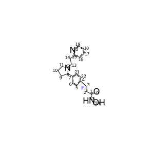 O=C(/C=C/c1ccc(C2CCCN2CCc2ccccn2)cc1)NO